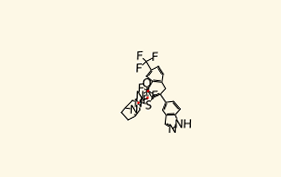 CN1CC2CCC(C1)N2C1=NC(=O)C(=C(Cc2ccc(C(F)(F)F)cc2C(F)(F)F)c2ccc3[nH]ncc3c2)S1